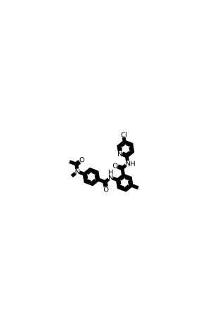 CC(=O)N(C)c1ccc(C(=O)Nc2ccc(C)cc2C(=O)Nc2ccc(Cl)cn2)cc1